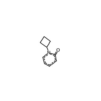 O=c1ccccn1C1CCC1